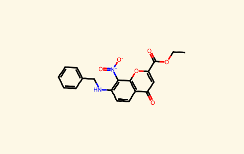 CCOC(=O)c1cc(=O)c2ccc(NCc3ccccc3)c([N+](=O)[O-])c2o1